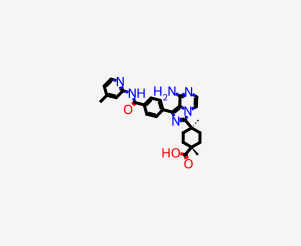 Cc1ccnc(NC(=O)c2ccc(-c3nc([C@]4(C)CC[C@@](C)(C(=O)O)CC4)n4ccnc(N)c34)cc2)c1